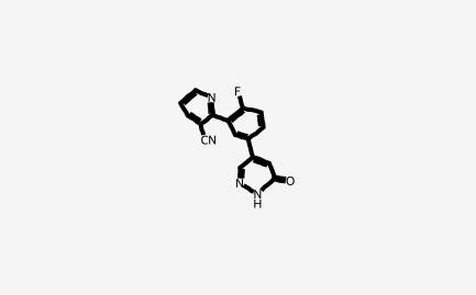 N#Cc1cccnc1-c1cc(-c2cn[nH]c(=O)c2)ccc1F